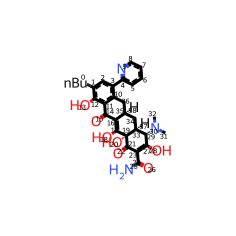 CCCCc1cc(-c2ccccn2)c2c(c1O)C(=O)C1=C(O)[C@]3(O)C(=O)C(C(N)=O)=C(O)[C@@H](N(C)C)[C@@H]3C[C@@H]1C2